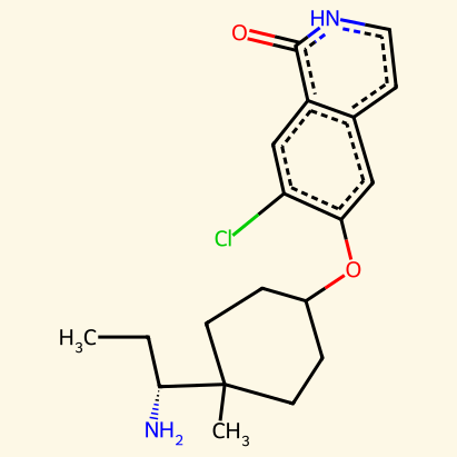 CC[C@@H](N)C1(C)CCC(Oc2cc3cc[nH]c(=O)c3cc2Cl)CC1